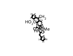 C=C(C1=C(C(=O)O)N2C(=O)[C@](NC(=O)Cc3cccs3)(OC)[C@H]2SC1)c1cccs1